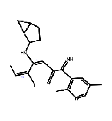 C=C(/C=C(NC1CCC2CC21)\C(F)=C/C)C(=N)c1cc(C)cnc1C